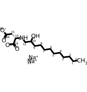 CCCCCCCCCCC(O)CN[C@@H](CC(=O)[O-])C(=O)[O-].[Na+].[Na+]